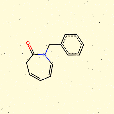 O=C1CC=CC=CN1Cc1ccccc1